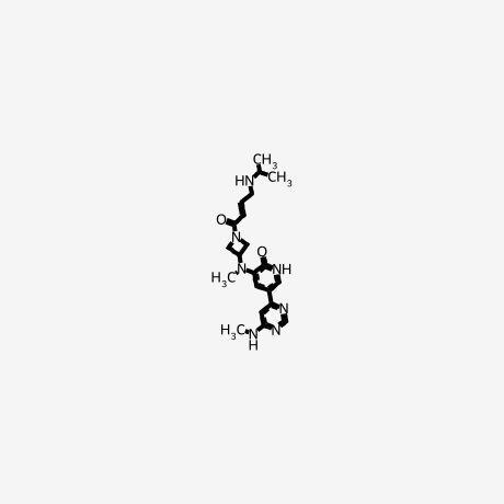 CNc1cc(-c2c[nH]c(=O)c(N(C)C3CN(C(=O)C=CCNC(C)C)C3)c2)ncn1